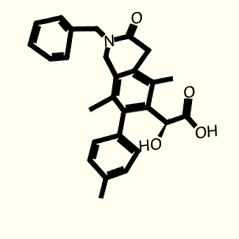 Cc1ccc(-c2c(C)c3c(c(C)c2[C@H](O)C(=O)O)CC(=O)N(Cc2ccccc2)C3)cc1